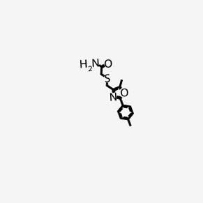 Cc1ccc(-c2nc(CSCC(N)=O)c(C)o2)cc1